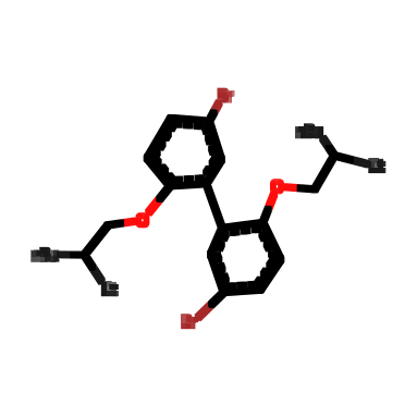 CCCCC(CC)COc1ccc(Br)cc1-c1cc(Br)ccc1OCC(CC)CCCC